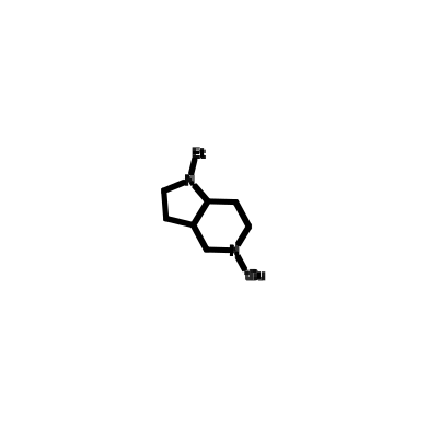 CCN1CCC2CN(C(C)(C)C)CCC21